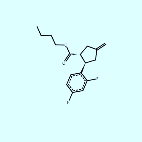 C=C1C[C@@H](C(=O)OCCCC)[C@H](c2ccc(F)cc2F)C1